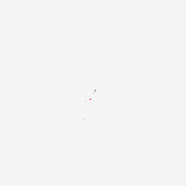 O=C(c1cscn1)N1[C@@H]2CC[C@H]1C[C@@H](c1ccc(F)cc1)C2